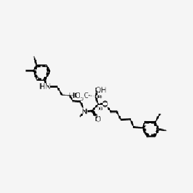 Cc1ccc(CCCCCO[C@@H](C(=O)N(C)CCCCCNc2ccc(C)c(C)c2)[C@@H](O)C(=O)O)cc1C